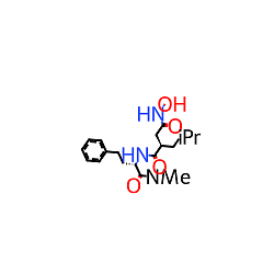 CNC(=O)[C@H](CCc1ccccc1)NC(=O)[C@@H](CC(=O)NO)CC(C)C